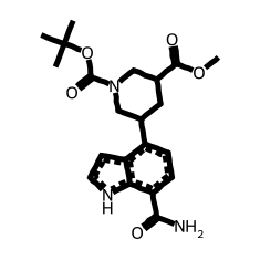 COC(=O)C1CC(c2ccc(C(N)=O)c3[nH]ccc23)CN(C(=O)OC(C)(C)C)C1